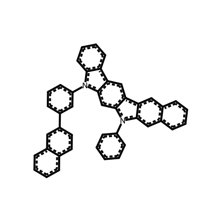 c1ccc(-n2c3cc4ccccc4cc3c3cc4c5ccccc5n(-c5cccc(-c6ccc7ccccc7c6)c5)c4cc32)cc1